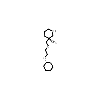 CC1(COCCO[C@H]2CCCCO2)CCCNC1